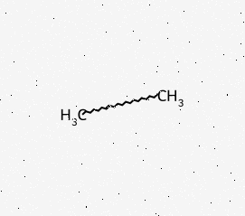 CCCCCCC=CCCCCCCCCCCCCC